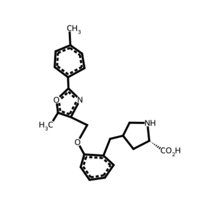 Cc1ccc(-c2nc(COc3ccccc3CC3CN[C@H](C(=O)O)C3)c(C)o2)cc1